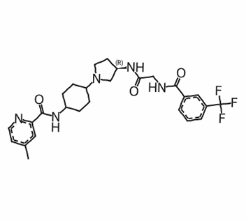 Cc1ccnc(C(=O)NC2CCC(N3CC[C@@H](NC(=O)CNC(=O)c4cccc(C(F)(F)F)c4)C3)CC2)c1